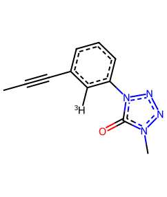 [3H]c1c(C#CC)cccc1-n1nnn(C)c1=O